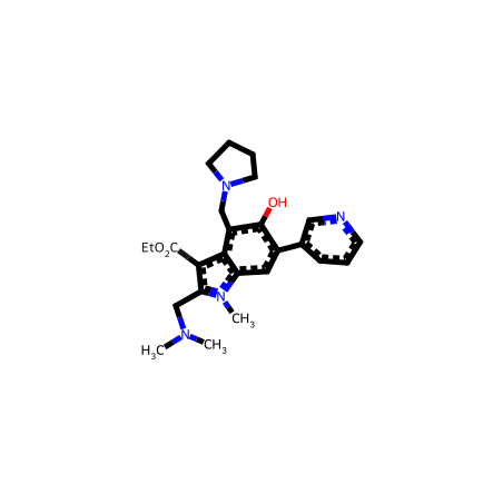 CCOC(=O)c1c(CN(C)C)n(C)c2cc(-c3cccnc3)c(O)c(CN3CCCC3)c12